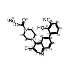 CC(C)(C)OC(=O)N1CCN(c2c(Cl)cnc3ccc(-c4cccc(C#N)c4O)cc23)CC1